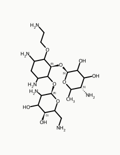 CC1O[C@@H](O[C@@H]2C(OCCN)C(N)CC(N)C2O[C@H]2OC(CN)[C@@H](O)C(O)C2N)C(O)C(O)[C@@H]1N